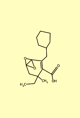 CCC1(C)CC23OC2(O3)C(CC2CCCCC2)=C1C(=O)O